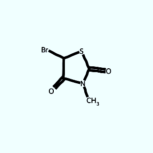 CN1C(=O)SC(Br)C1=O